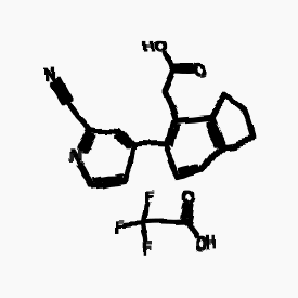 N#Cc1cc(-c2ccc3c(c2CC(=O)O)CCC3)ccn1.O=C(O)C(F)(F)F